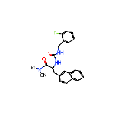 CCN(C#N)C(=O)C(Cc1ccc2ccccc2c1)NC(=O)NCc1ccccc1F